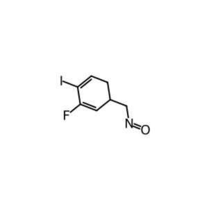 O=NCC1C=C(F)C(I)=CC1